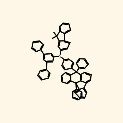 CC1(C)c2ccccc2-c2ccc(N(c3ccc(C4(c5ccccc5)c5ccccc5C5(c6ccccc6)c6ccccc6-c6cccc4c65)cc3)c3cc(-c4ccccc4)cc(-c4ccccc4)c3)cc21